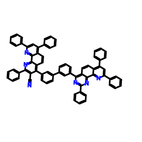 N#Cc1c(-c2ccccc2)nc2c(ccc3c(-c4ccccc4)cc(-c4ccccc4)nc32)c1-c1cccc(-c2cccc(-c3nc(-c4ccccc4)nc4c3ccc3c(-c5ccccc5)cc(-c5ccccc5)nc34)c2)c1